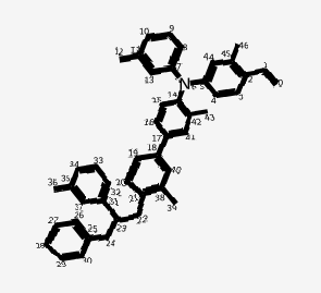 C=Cc1ccc(N(c2cccc(C)c2)c2ccc(-c3ccc(CC(Cc4ccccc4)c4cccc(C)c4)c(C)c3)cc2C)cc1C